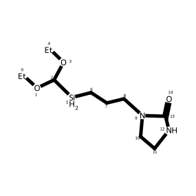 CCOC(OCC)[SiH2]CCCN1CCNC1=O